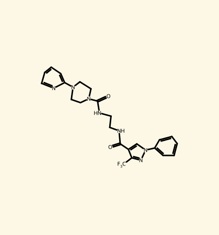 O=C(NCCNC(=O)N1CCN(c2ccccn2)CC1)c1cn(-c2ccccc2)nc1C(F)(F)F